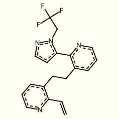 C=Cc1ncccc1CCc1cccnc1-c1ccnn1CC(F)(F)F